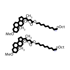 CCCCCCCC/C=C\CCCCCCCCOC(=O)CC[C@@H](C)C1CCC2C3CCC4C[C@H](OC)CC[C@]4(C)C3CC[C@@]21C.CCCCCCCC/C=C\CCCCCCCCOC(=O)CC[C@@H](C)C1CCC2C3CCC4C[C@H](OC)CC[C@]4(C)C3CC[C@@]21C